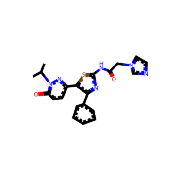 CC(C)n1nc(-c2sc(NC(=O)Cn3ccnc3)nc2-c2ccccc2)ccc1=O